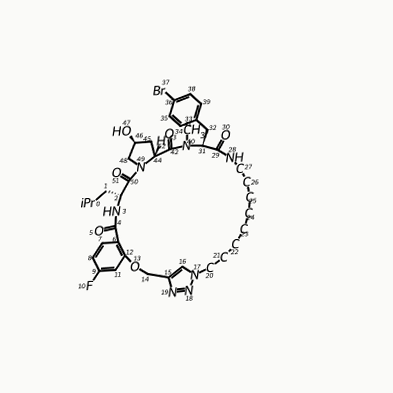 CC(C)C[C@H]1NC(=O)c2ccc(F)cc2OCc2cn(nn2)CCCCCCCCNC(=O)[C@H](Cc2ccc(Br)cc2)N(C)C(=O)[C@H]2C[C@H](O)CN2C1=O